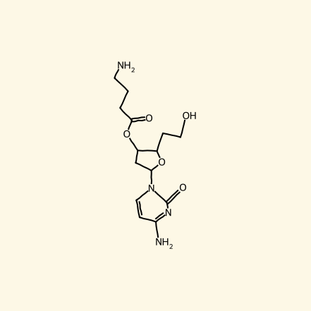 NCCCC(=O)OC1CC(n2ccc(N)nc2=O)OC1CCO